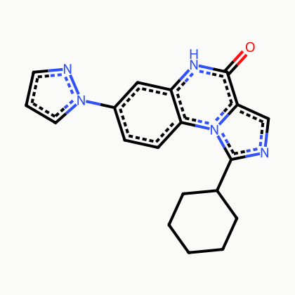 O=c1[nH]c2cc(-n3cccn3)ccc2n2c(C3CCCCC3)ncc12